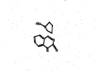 CCCCN1CCCC1.O=c1ncc2ccccc2[nH]1